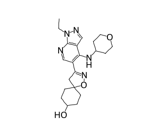 CCn1ncc2c(NC3CCOCC3)c(C3=NOC4(CCC(O)CC4)C3)cnc21